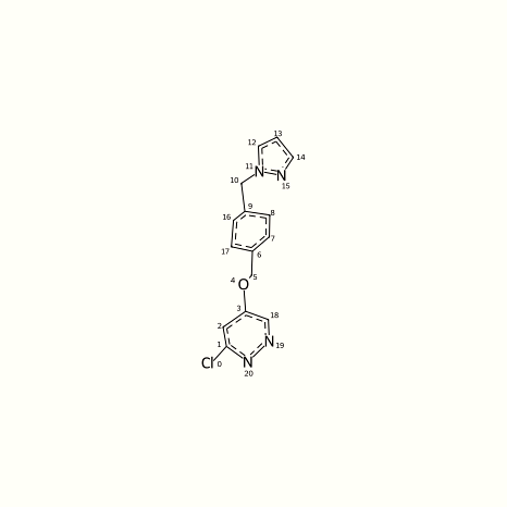 Clc1cc(OCc2ccc(Cn3cccn3)cc2)cnn1